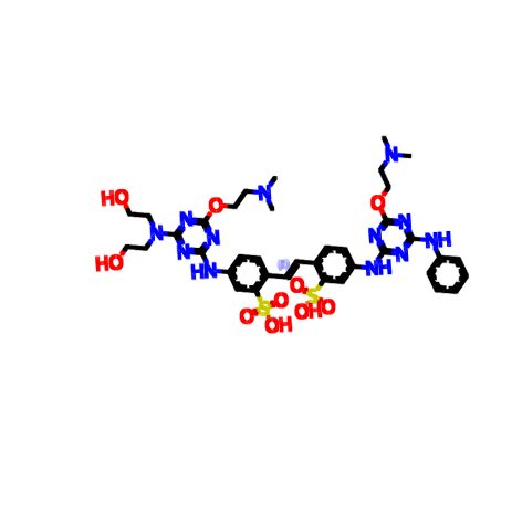 CN(C)CCOc1nc(Nc2ccccc2)nc(Nc2ccc(/C=C/c3ccc(Nc4nc(OCCN(C)C)nc(N(CCO)CCO)n4)cc3S(=O)(=O)O)c(S(=O)(=O)O)c2)n1